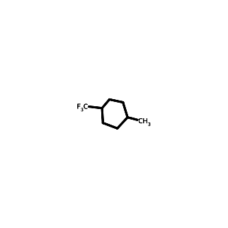 CC1CCC(C(F)(F)F)CC1